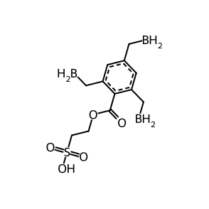 BCc1cc(CB)c(C(=O)OCCS(=O)(=O)O)c(CB)c1